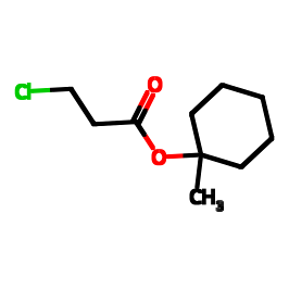 CC1(OC(=O)CCCl)CCCCC1